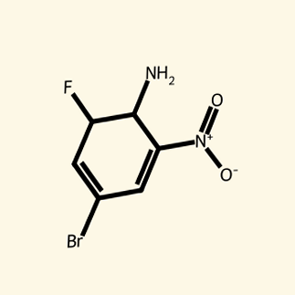 NC1C([N+](=O)[O-])=CC(Br)=CC1F